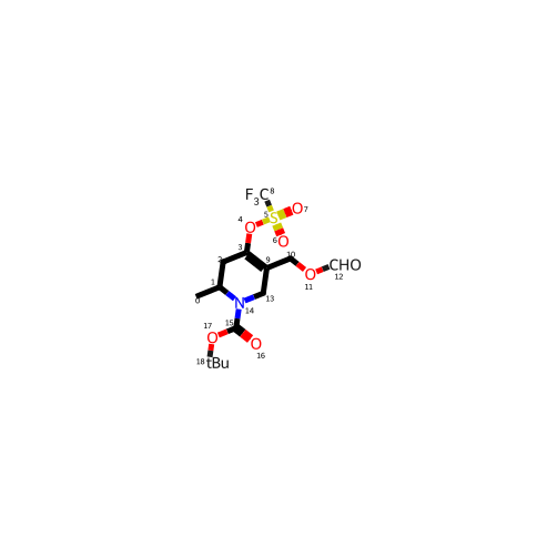 CC1CC(OS(=O)(=O)C(F)(F)F)=C(COC=O)CN1C(=O)OC(C)(C)C